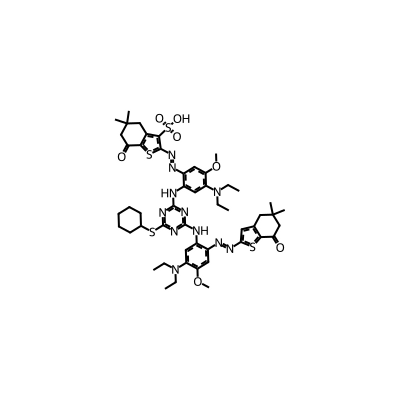 CCN(CC)c1cc(Nc2nc(Nc3cc(N(CC)CC)c(OC)cc3/N=N/c3sc4c(c3S(=O)(=O)O)CC(C)(C)CC4=O)nc(SC3CCCCC3)n2)c(/N=N/c2cc3c(s2)C(=O)CC(C)(C)C3)cc1OC